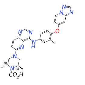 Cc1cc(Nc2ncnc3ccc(N4C[C@@H](C)N(C(=O)O)[C@H](C)C4)nc23)ccc1Oc1ccn2ncnc2c1